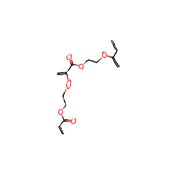 C=CC(=C)OCCOC(=O)C(=C)OCCOC(=O)C=C